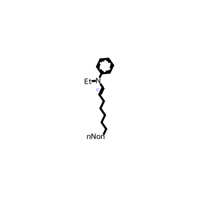 CCCCCCCCCCCCCC/C=C/N(CC)c1ccccc1